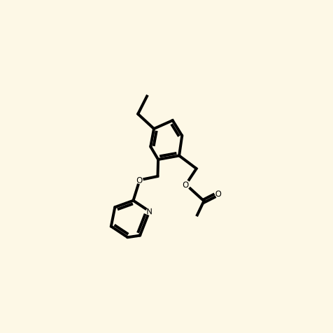 CCc1ccc(COC(C)=O)c(COc2ccccn2)c1